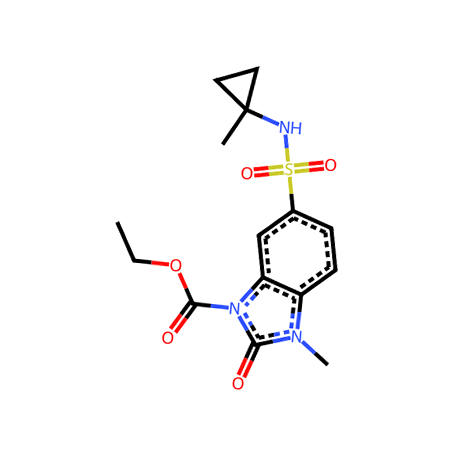 CCOC(=O)n1c(=O)n(C)c2ccc(S(=O)(=O)NC3(C)CC3)cc21